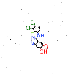 COc1cc2c(Nc3ccc(Cl)c(Cl)c3F)ncnc2cc1O